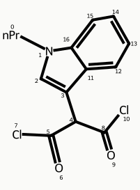 CCCn1cc(C(C(=O)Cl)C(=O)Cl)c2ccccc21